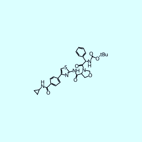 CC(C)(C)OC(=O)N[C@@H](C(=O)N1COCC1C(=O)Nc1nc(-c2ccc(C(=O)NC3CC3)cc2)cs1)c1ccccc1